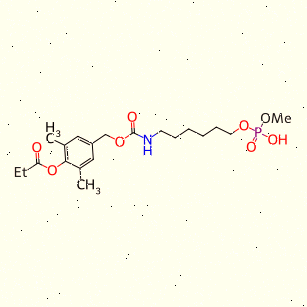 CCC(=O)Oc1c(C)cc(COC(=O)NCCCCCCOP(=O)(O)OC)cc1C